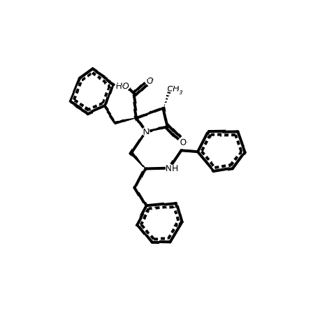 C[C@@H]1C(=O)N(C[C@H](Cc2ccccc2)NCc2ccccc2)[C@]1(Cc1ccccc1)C(=O)O